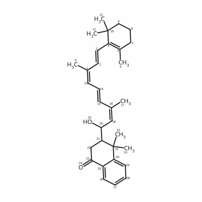 CC(C=CC1=C(C)CCCC1(C)C)=CC=CC(C)=CC(O)C1CC(=O)c2ccccc2C1(C)C